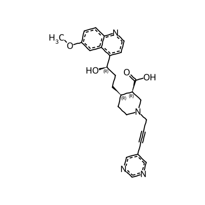 COc1ccc2nccc([C@H](O)CC[C@@H]3CCN(CC#Cc4cncnc4)C[C@@H]3C(=O)O)c2c1